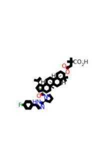 C=C(C)[C@@H]1CC[C@]2(C(=O)N3CCC[C@H]3c3ncc(-c4ccc(F)cc4)[nH]3)CC[C@]3(C)[C@H](CC[C@@H]4[C@@]5(C)CC[C@H](OC(=O)CC(C)(C)C(=O)O)C(C)(C)[C@@H]5CC[C@]43C)[C@@H]12